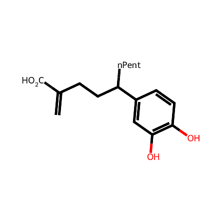 C=C(CCC(CCCCC)c1ccc(O)c(O)c1)C(=O)O